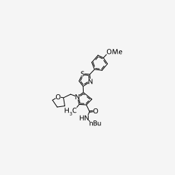 CCCCNC(=O)c1cc(-c2csc(-c3ccc(OC)cc3)n2)n(CC2CCCO2)c1C